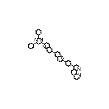 c1ccc(-c2cc(-c3ccc4cc(-c5ccc6nc(-c7ccc(-c8ccnc9c8ccc8cccnc89)cc7)ccc6c5)ccc4n3)nc(-c3ccccc3)n2)cc1